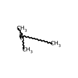 CCCCCCCCCCCCCCCCCCCC1N(CCCCC)C=CN1CCCCCCC